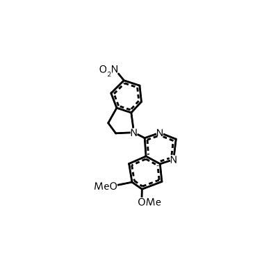 COc1cc2ncnc(N3CCc4cc([N+](=O)[O-])ccc43)c2cc1OC